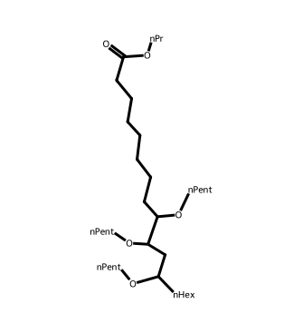 CCCCCCC(CC(OCCCCC)C(CCCCCCCC(=O)OCCC)OCCCCC)OCCCCC